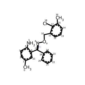 Cc1ccc(N)c(/C(=N/OCc2cccc(C)c2Cl)c2ccccc2)c1